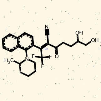 CC1CCCCN1c1c(/C(=C(\C#N)C(=O)CCC(O)CO)C(F)(F)F)ccc2ccccc12